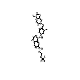 Cc1cc(Nc2ncnc3cnc(NCCOC(F)(F)F)nc23)ccc1Oc1ccc2c(c1)ncn2C